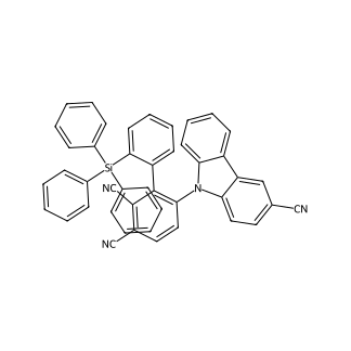 N#Cc1ccc2c(c1)c1ccccc1n2-c1ccc(C#N)c(C#N)c1-c1ccccc1[Si](c1ccccc1)(c1ccccc1)c1ccccc1